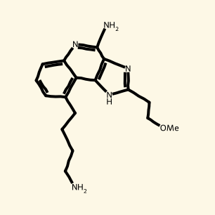 COCCc1nc2c(N)nc3cccc(CCCCN)c3c2[nH]1